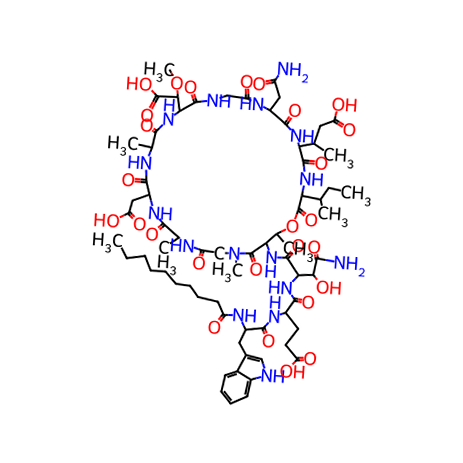 CCCCCCCCCC(=O)NC(Cc1c[nH]c2ccccc12)C(=O)NC(CCC(=O)O)C(=O)NC(C(=O)NC1C(=O)N(C)CC(=O)NC(C)C(=O)NC(CC(=O)O)C(=O)NC(C)C(=O)NC(C(OC)C(=O)O)C(=O)NCC(=O)NC(CC(N)=O)C(=O)NC(C(C)CC(=O)O)C(=O)NC(C(C)CC)C(=O)OC1C)C(O)C(N)=O